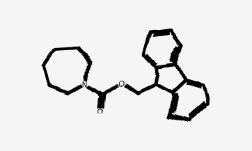 O=C(OCC1c2ccccc2-c2ccccc21)N1CCCCCC1